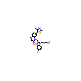 Cc1nc(C)c(-c2ccc3ncc(=O)n(Cc4nc5cc(F)ccc5n4CCCCF)c3c2)s1